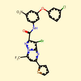 O=C(Nc1cc(Oc2cccc(Cl)c2)cc([N+](=O)[O-])c1)c1nn2c(C(F)(F)F)cc(-c3cccs3)nc2c1Br